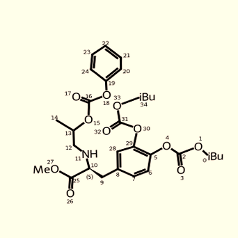 CCC(C)OC(=O)Oc1ccc(C[C@H](NCC(C)OC(=O)Oc2ccccc2)C(=O)OC)cc1OC(=O)OC(C)CC